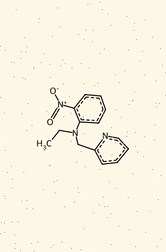 CCN(Cc1ccccn1)c1ccccc1[N+](=O)[O-]